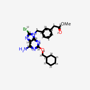 COC(=O)Cc1cccc(Cn2c(Br)nc3c(N)nc(OCC4CCCCC4)nc32)c1